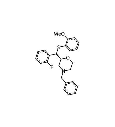 COc1ccccc1SC(c1ccccc1F)[C@@H]1CN(Cc2ccccc2)CCO1